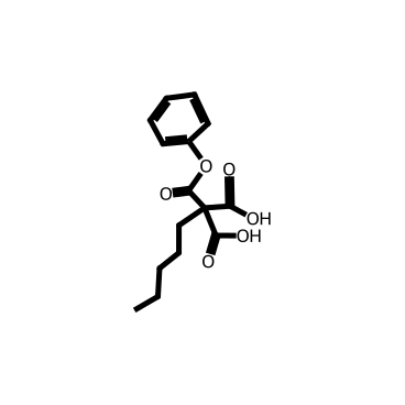 CCCCCC(C(=O)O)(C(=O)O)C(=O)Oc1ccccc1